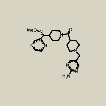 CO/N=C(\c1cnccn1)C1CCN(C(=O)C2CCN(Cc3cnc(N)nc3)CC2)CC1